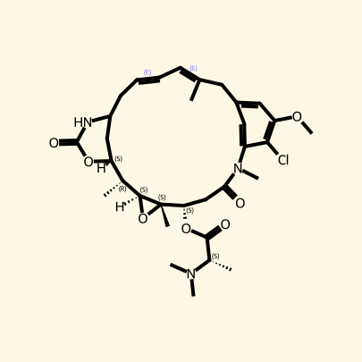 COc1cc2cc(c1Cl)N(C)C(=O)C[C@H](OC(=O)[C@H](C)N(C)C)[C@]1(C)O[C@H]1[C@H](C)[C@@H]1CC(C/C=C/C=C(\C)C2)NC(=O)O1